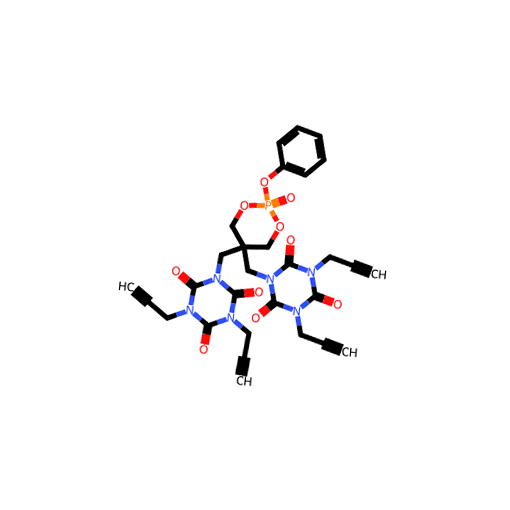 C#CCn1c(=O)n(CC#C)c(=O)n(CC2(Cn3c(=O)n(CC#C)c(=O)n(CC#C)c3=O)COP(=O)(Oc3ccccc3)OC2)c1=O